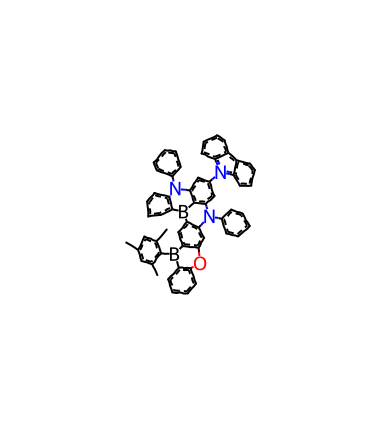 Cc1cc(C)c(B2c3ccccc3Oc3cc4c(cc32)B2c3ccccc3N(c3ccccc3)c3cc(-n5c6ccccc6c6ccccc65)cc(c32)N4c2ccccc2)c(C)c1